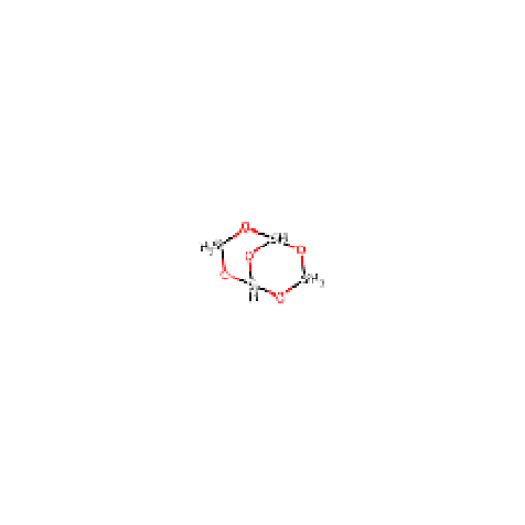 O1[SiH2]O[SiH]2O[SiH2]O[SiH]1O2